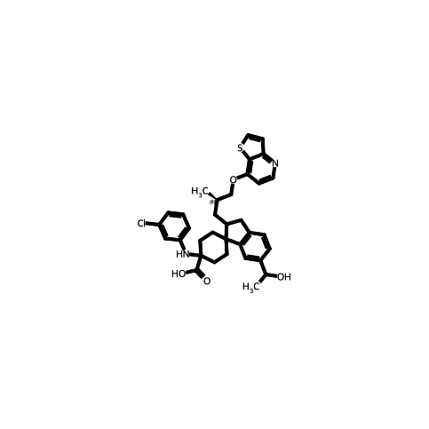 CC(O)c1ccc2c(c1)C1(CCC(Nc3cccc(Cl)c3)(C(=O)O)CC1)C(C[C@@H](C)COc1ccnc3ccsc13)C2